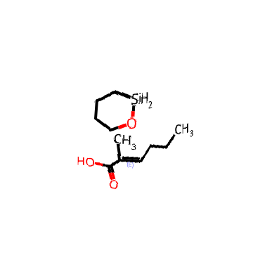 C1CC[SiH2]OC1.CCC/C=C(\C)C(=O)O